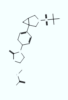 CC(=O)NC[C@H]1CN(C2C=CC(C34CC3CN(S(=O)(=O)C(F)(F)F)C4)=CC2)C(=O)O1